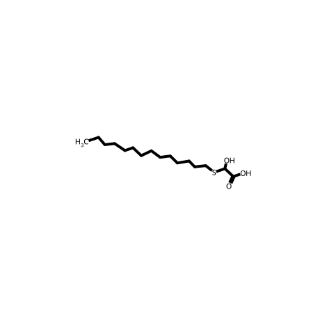 CCCCCCCCCCCCCCSC(O)C(=O)O